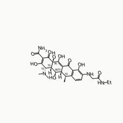 CCNC(=O)CNc1ccc2c(c1O)C(=O)C1=C(O)[C@@]3(O)C(=O)C(C(N)=O)=C(O)[C@@H](N(C)C)[C@H]3[C@H](O)[C@H]1[C@@H]2C